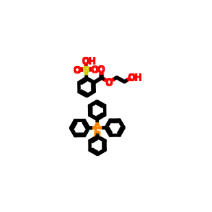 O=C(OCCO)c1ccccc1S(=O)(=O)O.c1ccc([PH](c2ccccc2)(c2ccccc2)c2ccccc2)cc1